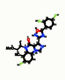 COCC(C)n1c(=O)c2c(-c3noc(-c4ccc(F)cc4F)n3)ncn2c2ccc(F)c(C#N)c21